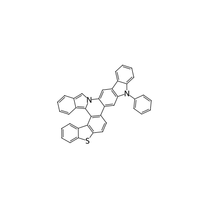 c1ccc(-n2c3ccccc3c3cc4c(cc32)c2ccc3sc5ccccc5c3c2c2c3ccccc3cn42)cc1